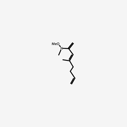 C=CCC/C(C)=C/C(=C)N(C)OC